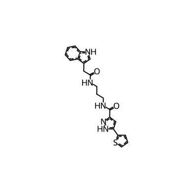 O=C(Cc1c[nH]c2ccccc12)NCCCNC(=O)c1cc(-c2cccs2)[nH]n1